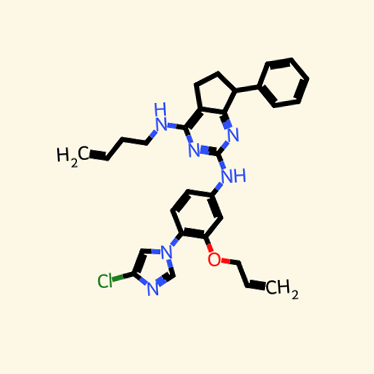 C=CCCNc1nc(Nc2ccc(-n3cnc(Cl)c3)c(OCC=C)c2)nc2c1CCC2c1ccccc1